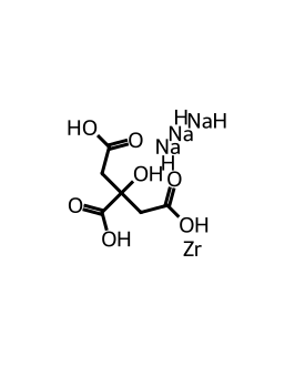 O=C(O)CC(O)(CC(=O)O)C(=O)O.[NaH].[NaH].[NaH].[Zr]